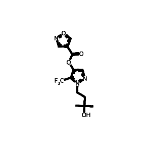 CC(C)(O)CCn1ncc(OC(=O)c2cnoc2)c1C(F)(F)F